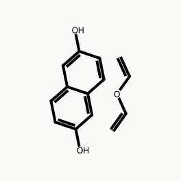 C=COC=C.Oc1ccc2cc(O)ccc2c1